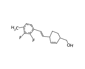 Cc1ccc(/C=C/C2C=CC(CO)CC2)c(F)c1F